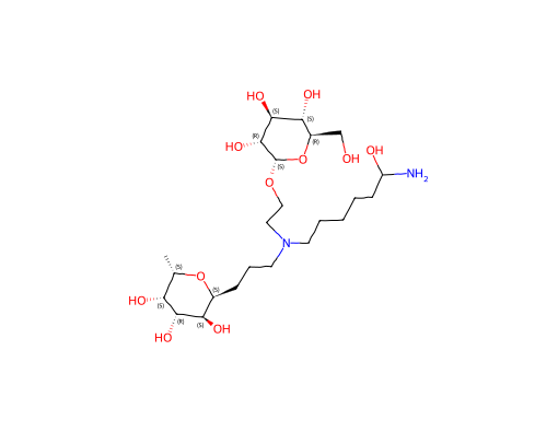 C[C@@H]1O[C@@H](CCCN(CCCCCC(N)O)CCO[C@H]2O[C@H](CO)[C@@H](O)[C@H](O)[C@H]2O)[C@@H](O)[C@H](O)[C@@H]1O